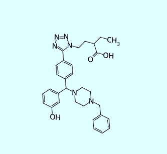 CCC(CCn1nnnc1-c1ccc(C(c2cccc(O)c2)N2CCN(Cc3ccccc3)CC2)cc1)C(=O)O